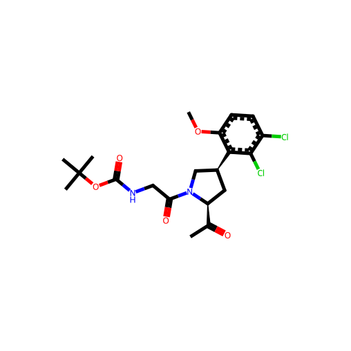 COc1ccc(Cl)c(Cl)c1[C@H]1C[C@@H](C(C)=O)N(C(=O)CNC(=O)OC(C)(C)C)C1